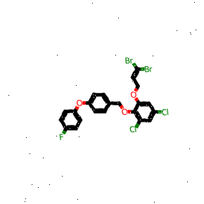 Fc1ccc(Oc2ccc(COc3c(Cl)cc(Cl)cc3OCC=C(Br)Br)cc2)cc1